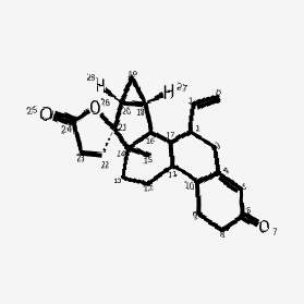 C=CC1CC2=CC(=O)CCC2C2CCC3(C)C(C12)[C@H]1C[C@H]1[C@@]31CCC(=O)O1